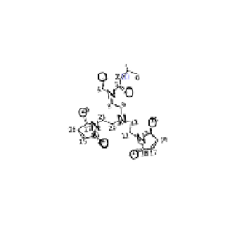 C/C=C\C(=O)N(C=O)CCN(CCN1C(=O)C=CC1=O)CCN1C(=O)C=CC1=O